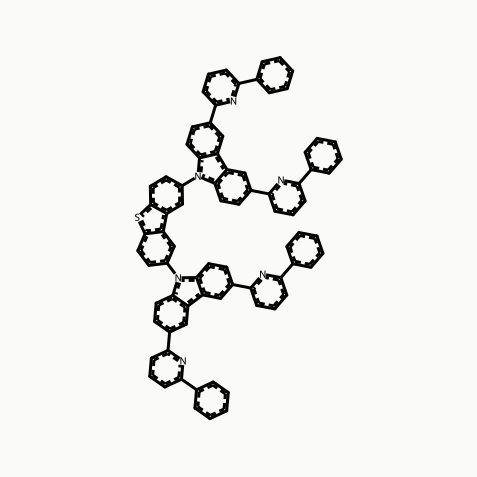 c1ccc(-c2cccc(-c3ccc4c(c3)c3cc(-c5cccc(-c6ccccc6)n5)ccc3n4-c3ccc4sc5ccc(-n6c7ccc(-c8cccc(-c9ccccc9)n8)cc7c7cc(-c8cccc(-c9ccccc9)n8)ccc76)cc5c4c3)n2)cc1